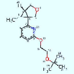 C[C@@H]1[C@@H]2COC[C@]12c1cccc(OCCOC(C)(C)C)n1